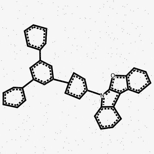 c1ccc(-c2cc(-c3ccccc3)cc(-c3ccc(-n4c5ccccc5c5c6ccccc6oc54)cc3)c2)cc1